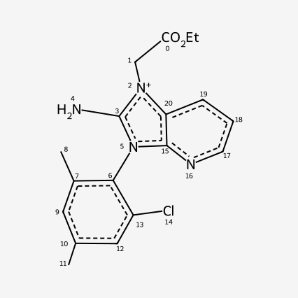 CCOC(=O)C[n+]1c(N)n(-c2c(C)cc(C)cc2Cl)c2ncccc21